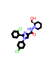 O=C(NN1CCCC[C@@H]1CO)c1cn(-c2ccc(Cl)cc2)c(-c2ccccc2Cl)n1